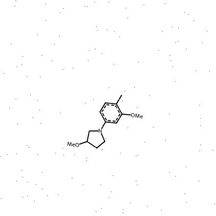 COc1cc(N2CCC(OC)C2)ccc1C